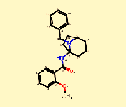 COc1ccccc1C(=O)NC12CCCC(CC1)N2Cc1ccccc1